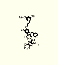 CC[n+]1c(CNC(=O)c2nc(Cl)c(N)nc2N)n(CC2CCOCC2)c2cc(OCCC[n+]3cc(O)cc(OC)c3)c(Cl)cc21